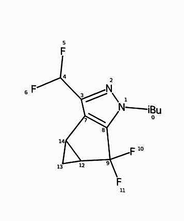 CCC(C)n1nc(C(F)F)c2c1C(F)(F)C1CC21